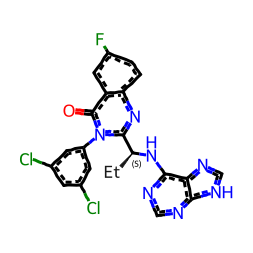 CC[C@H](Nc1ncnc2[nH]cnc12)c1nc2ccc(F)cc2c(=O)n1-c1cc(Cl)cc(Cl)c1